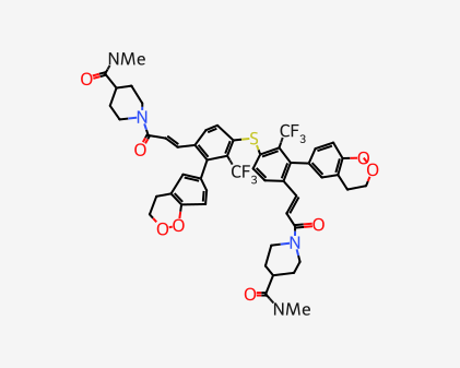 CNC(=O)C1CCN(C(=O)/C=C/c2ccc(Sc3ccc(/C=C/C(=O)N4CCC(C(=O)NC)CC4)c(-c4ccc5c(c4)CCOO5)c3C(F)(F)F)c(C(F)(F)F)c2-c2ccc3c(c2)CCOO3)CC1